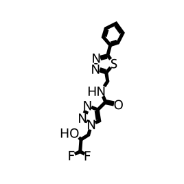 O=C(NCc1nnc(-c2ccccc2)s1)c1cn(CC(O)C(F)F)nn1